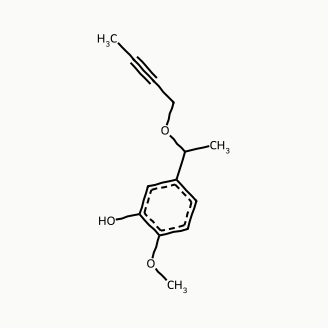 CC#CCOC(C)c1ccc(OC)c(O)c1